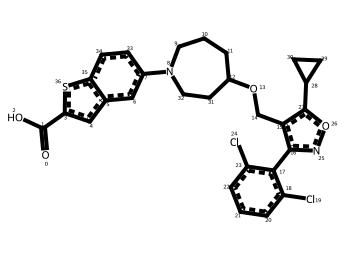 O=C(O)c1cc2cc(N3CCCC(OCc4c(-c5c(Cl)cccc5Cl)noc4C4CC4)CC3)ccc2s1